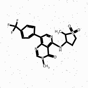 CC1C(Nc2ncc(-c3ccc(C(F)(F)F)cc3)c3ncn(C)c(=O)c23)CCS1(=O)=O